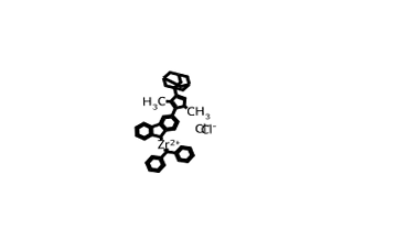 CC1=C(c2ccc3c(c2)-c2ccccc2[CH]3[Zr+2]=[C](c2ccccc2)c2ccccc2)C(C)C=C1C12CC3CC(CC(C3)C1)C2.[Cl-].[Cl-]